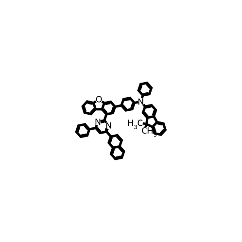 CC1(C)c2ccccc2-c2ccc(N(c3ccccc3)c3ccc(-c4cc(-c5nc(-c6ccccc6)cc(-c6ccc7ccccc7c6)n5)c5c(c4)oc4ccccc45)cc3)cc21